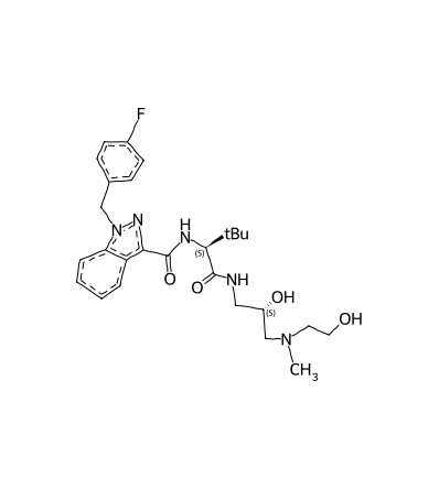 CN(CCO)C[C@@H](O)CNC(=O)[C@@H](NC(=O)c1nn(Cc2ccc(F)cc2)c2ccccc12)C(C)(C)C